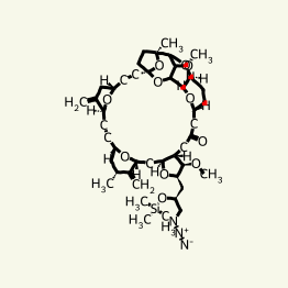 C=C1C[C@@H]2CC[C@]34CC[C@](C)(O3)C3O[C@H]5CC[C@H](CC(=O)C[C@@H]6[C@@H](OC)[C@@H](C[C@@H](CN=[N+]=[N-])O[Si](C)(C)C)O[C@H]6C[C@H]6O[C@@H](CC[C@@H]1O2)C[C@@H](C)C6=C)O[C@@H]5[C@H](O4)C3OC